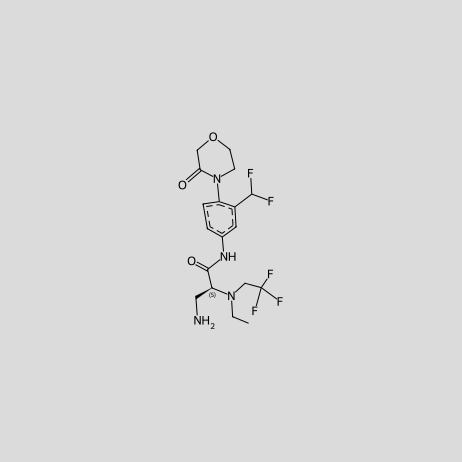 CCN(CC(F)(F)F)[C@@H](CN)C(=O)Nc1ccc(N2CCOCC2=O)c(C(F)F)c1